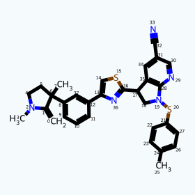 C=C1N(C)CCC1(C)c1cccc(-c2csc(C3CN(Sc4ccc(C)cc4)c4ncc(C#N)cc43)n2)c1